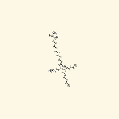 CCCOCC(COCCC=O)(COCCC=O)NC(=O)CCCCCCCCCCC(=O)NC